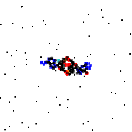 CP1(=O)C[C@@H]2[C@H](O)[C@@H](COP(C)(=O)O[C@H]3[C@@H](F)[C@H](n4cnc5c(N)ncnc54)O[C@@H]3CO1)O[C@H]2n1cnc2c(=O)[nH]c(N)nc21